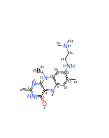 C=c1nc2c(c(=O)[nH]1)=Nc1cc(C)c(NCCN(C)C)cc1N2CCCC